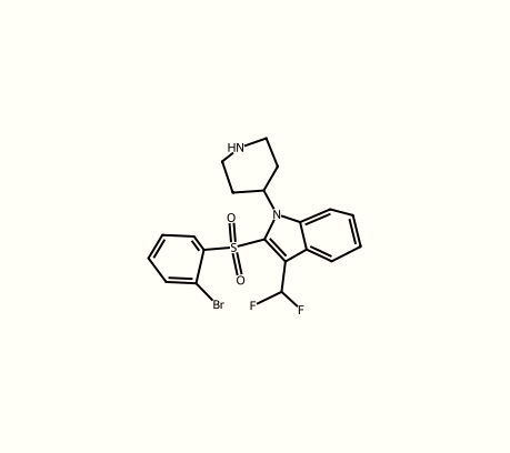 O=S(=O)(c1ccccc1Br)c1c(C(F)F)c2ccccc2n1C1CCNCC1